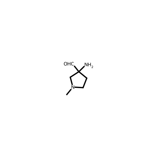 CN1CCC(N)(C=O)C1